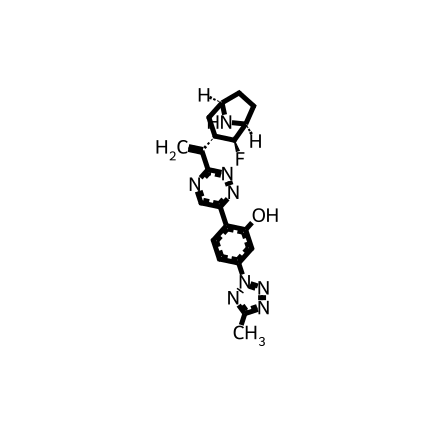 C=C(c1ncc(-c2ccc(-n3nnc(C)n3)cc2O)nn1)[C@@H]1C[C@H]2CC[C@H](N2)[C@H]1F